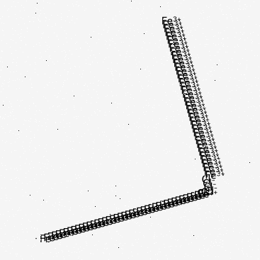 [Cl-].[Cl-].[Cl-].[Cl-].[Cl-].[Cl-].[Fe+3].[Fe+3].[Fe+3].[Fe+3].[Fe+3].[Fe+3].[Fe+3].[Fe+3].[Fe+3].[Fe+3].[Fe+3].[Fe+3].[Fe+3].[Fe+3].[Fe+3].[Fe+3].[Fe+3].[Fe+3].[Fe+3].[Fe+3].[Fe+3].[Fe+3].[Fe+3].[Fe+3].[Fe+3].[Fe+3].[Fe+3].[Fe+3].[Fe+3].[Fe+3].[Fe+3].[Fe+3].[Fe+3].[Fe+3].[Fe+3].[Fe+3].[Fe+3].[Fe+3].[Fe+3].[Fe+3].[Fe+3].[Fe+3].[Fe+3].[Fe+3].[Fe+3].[Fe+3].[Fe+3].[Fe+3].[Fe+3].[Fe+3].[Fe+3].[Fe+3].[Fe+3].[Fe+3].[Fe+3].[Fe+3].[Fe+3].[Fe+3].[Fe+3].[Fe+3].[Fe+3].[Fe+3].[Fe+3].[Fe+3].[Fe+3].[Fe+3].[Fe+3].[Fe+3].[Fe+3].[Fe+3].[Fe+3].[Fe+3].[Fe+3].[Fe+3].[Fe+3].[Fe+3].[Fe+3].[Fe+3].[Fe+3].[Fe+3].[Fe+3].[Fe+3].[Fe+3]